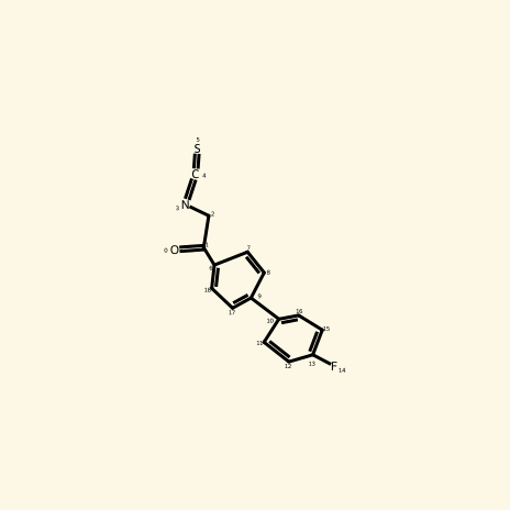 O=C(CN=C=S)c1ccc(-c2ccc(F)cc2)cc1